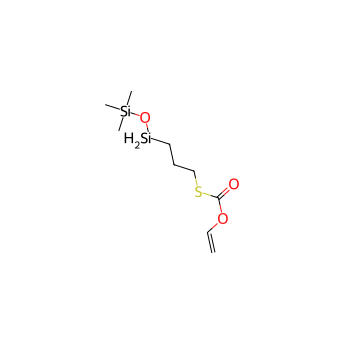 C=COC(=O)SCCC[SiH2]O[Si](C)(C)C